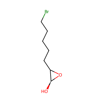 O[C@@H]1OC1CCCCCBr